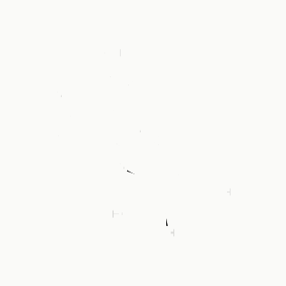 C=CCOC1O[C@H](CO)[C@@H](O)[C@H](O)[C@H]1OC(=O)CC(O)(CC(=O)O)C(=O)O